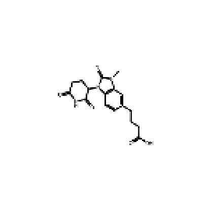 Cn1c(=O)n(C2CCC(=O)NC2=O)c2ccc(CCCC(=O)O)cc21